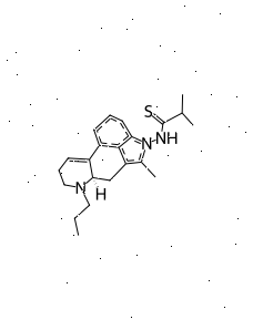 CCCN1CCC=C2c3cccc4c3c(c(C)n4NC(=S)C(C)C)C[C@H]21